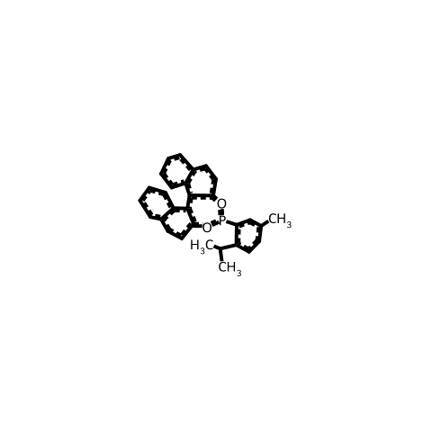 Cc1ccc(C(C)C)c(-p2oc3ccc4ccccc4c3c3c(ccc4ccccc43)o2)c1